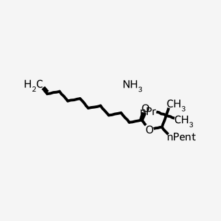 C=CCCCCCCCCC(=O)OC(CCCCC)C(C)(C)CCC.N